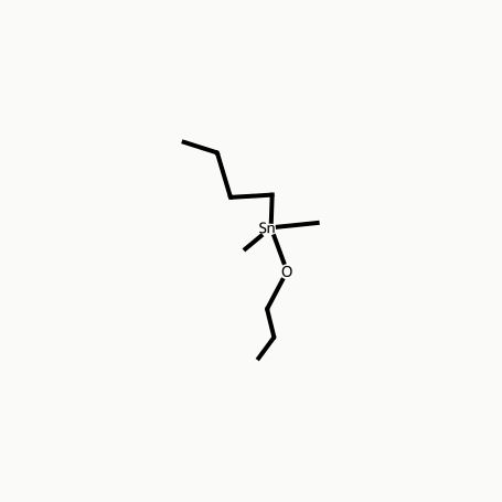 CCC[CH2][Sn]([CH3])([CH3])[O]CCC